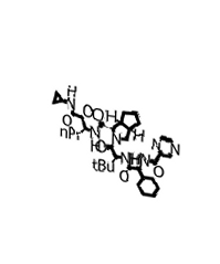 CCC[C@H](NC(=O)[C@@H]1[C@@H]2CCC[C@H]2CN1C(=O)[C@@H](NC(=O)[C@@H](NC(=O)c1cnccn1)C1CCCCC1)C(C)(C)C)C(=O)C(=O)NC1CC1